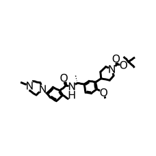 COc1ccc([C@@H](C)NC(=O)c2cc(N3CCN(C)CC3)ccc2C)cc1C1CCN(C(=O)OC(C)(C)C)CC1